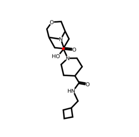 O=C(NCC1CCC1)C1CCN(C2CC3COCC(C2)N3C(=O)O)CC1